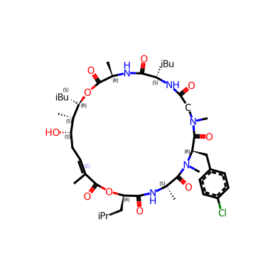 CCC(C)[C@@H]1NC(=O)CN(C)C(=O)[C@@H](Cc2ccc(Cl)cc2)N(C)C(=O)[C@H](C)NC(=O)[C@@H](CC(C)C)OC(=O)/C(C)=C/C[C@H](O)[C@H](C)[C@@H]([C@@H](C)CC)OC(=O)[C@@H](C)NC1=O